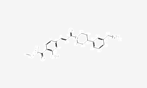 CONC(=O)c1ccc(C=CC(=O)N2CCC(c3cccc(CN)c3)CC2)cc1O